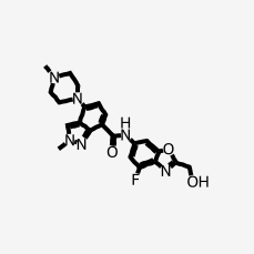 CN1CCN(c2ccc(C(=O)Nc3cc(F)c4nc(CO)oc4c3)c3nn(C)cc23)CC1